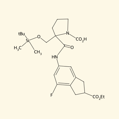 CCOC(=O)C1Cc2cc(NC(=O)C3(CO[Si](C)(C)C(C)(C)C)CCCN3C(=O)O)cc(F)c2C1